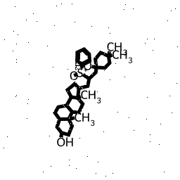 CC1(C)CCC(O)(CC(CC2CCC3C4CCC5CC(O)CCC5(C)C4CCC23C)[S+]([O-])c2ccccc2)CC1